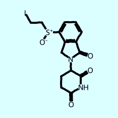 O=C1CCC(N2Cc3c(cccc3[S+]([O-])CCI)C2=O)C(=O)N1